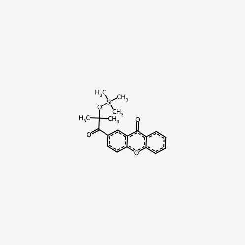 CC(C)(O[Si](C)(C)C)C(=O)c1ccc2oc3ccccc3c(=O)c2c1